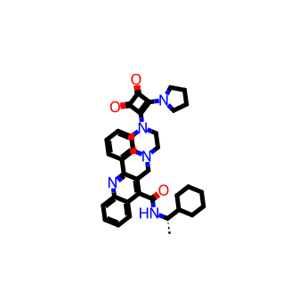 C[C@H](NC(=O)c1c(CN2CCN(c3c(N4CCCC4)c(=O)c3=O)CC2)c(-c2ccccc2)nc2ccccc12)C1CCCCC1